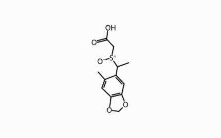 Cc1cc2c(cc1C(C)[S+]([O-])CC(=O)O)OCO2